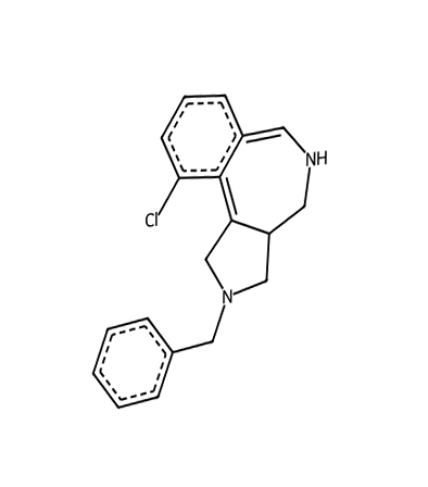 Clc1cccc2c1=C1CN(Cc3ccccc3)CC1CNC=2